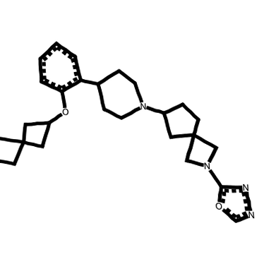 c1ccc(C2CCN(C3CCC4(C3)CN(c3nnco3)C4)CC2)c(OC2CC3(COC3)C2)c1